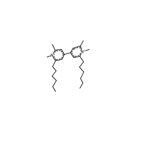 CCCCCCc1cc(-c2cc(C)[n+](C)c(CCCCCC)c2)cc(C)[n+]1C